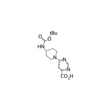 CC(C)(C)OC(=O)NC1CCN(c2cc(C(=O)O)ncn2)CC1